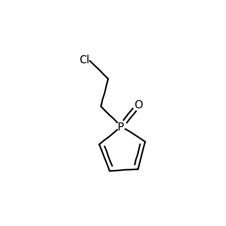 O=P1(CCCl)C=CC=C1